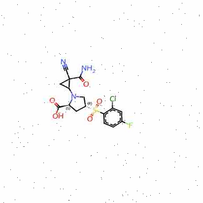 N#CC1(C(N)=O)CC1N1C[C@H](S(=O)(=O)c2ccc(F)cc2Cl)C[C@H]1C(=O)O